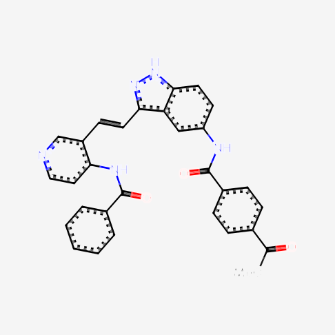 COC(=O)c1ccc(C(=O)Nc2ccc3[nH]nc(/C=C/c4cnccc4NC(=O)c4ccccc4)c3c2)cc1